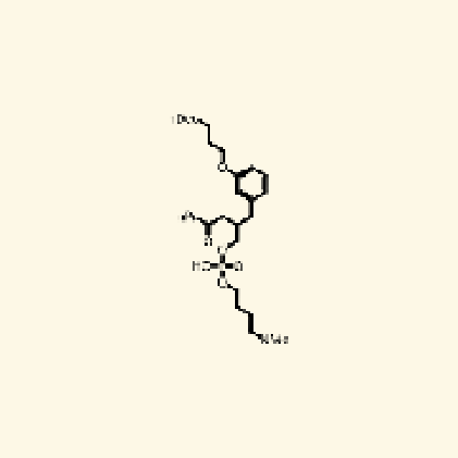 CCCCCCCCCCCCCOc1cccc(CC(COP(=O)(O)OCCCCNC)CC(=O)CCC)c1